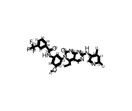 CCc1c2cnc(Nc3cnc(C)cc3C)nc2nc(=O)n1-c1cc(NC(=O)c2cccc(C(F)(F)F)c2)cc(OC)c1